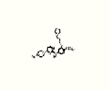 COc1ccc(Nc2nccc(N3CCN(C(C)=O)CC3)n2)cc1OCCCN1CCCC1